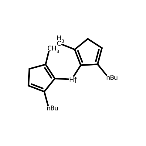 CCCCC1=CCC(C)=[C]1[Hf][C]1=C(C)CC=C1CCCC